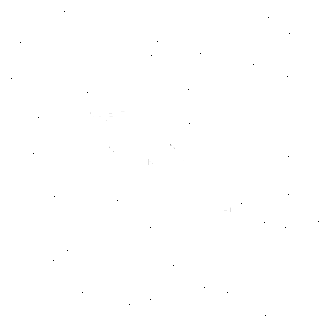 CCOC(=O)Oc1[nH]c2cnc(NS(=O)(=O)c3ccc(C(C)(C)C)cc3)cc2c1Br